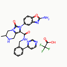 CC1Cn2c(c(C(=O)NCc3ccccc3-c3ccncn3)n(-c3ccc4oc(N)nc4c3)c2=O)CN1.O=C(O)C(F)(F)F